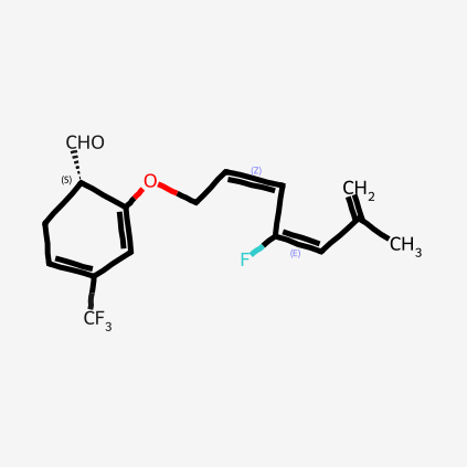 C=C(C)/C=C(F)\C=C/COC1=CC(C(F)(F)F)=CC[C@@H]1C=O